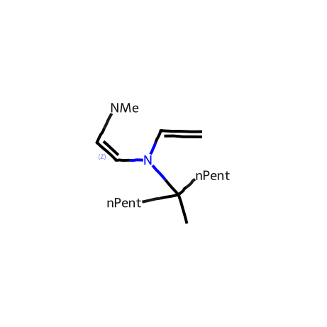 C=CN(/C=C\NC)C(C)(CCCCC)CCCCC